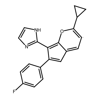 Fc1ccc(-c2cc3c[c]c(C4CC4)oc-3c2-c2ncc[nH]2)cc1